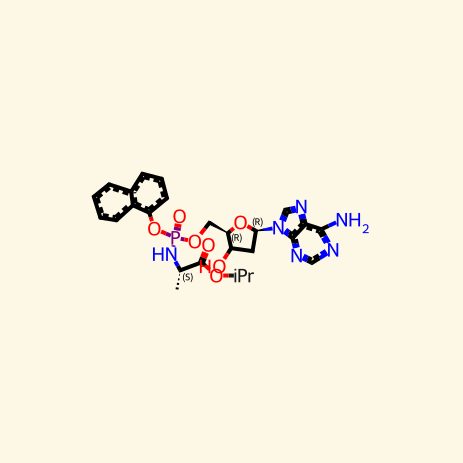 CC(C)OC(=O)[C@H](C)NP(=O)(OC[C@H]1O[C@@H](n2cnc3c(N)ncnc32)CC1O)Oc1cccc2ccccc12